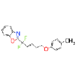 Cc1ccc(OCCC=CC(F)(F)c2nc3ccccc3o2)cc1